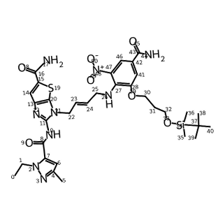 CCn1nc(C)cc1C(=O)Nc1nc2cc(C(N)=O)sc2n1C/C=C/CNc1c(OCCCO[Si](C)(C)C(C)(C)C)cc(C(N)=O)cc1[N+](=O)[O-]